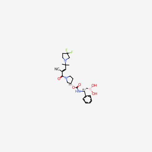 CC(C)(C=C(C#N)C(=O)N1CC[C@H](OC(=O)N[C@H](CB(O)O)c2ccccc2)C1)N1CCC(F)(F)C1